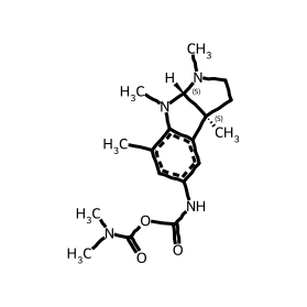 Cc1cc(NC(=O)OC(=O)N(C)C)cc2c1N(C)[C@@H]1N(C)CC[C@@]21C